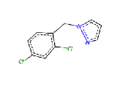 Clc1ccc(Cn2cccn2)c(Cl)c1